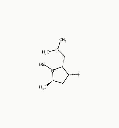 C[C@@H]1C[C@@H](F)[C@@H](CN(C)C)N1C(C)(C)C